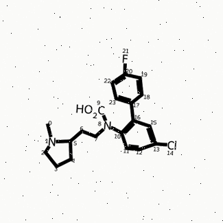 CN1CCCC1CCN(C(=O)O)c1ccc(Cl)cc1-c1ccc(F)cc1